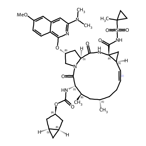 COc1ccc2c(O[C@@H]3C[C@H]4C(=O)N[C@]5(C(=O)NS(=O)(=O)C6(C)CC6)C[C@H]5/C=C\CC[C@H](C)C[C@@H](C)[C@H](NC(=O)O[C@@H]5C[C@@H]6C[C@@H]6C5)C(=O)N4C3)nc(N(C)C)cc2c1